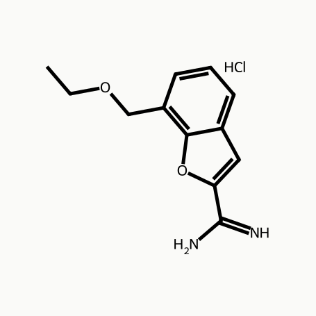 CCOCc1cccc2cc(C(=N)N)oc12.Cl